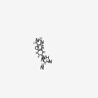 N#CC(C#N)=NNc1ccc(Oc2cncnc2)c(F)c1